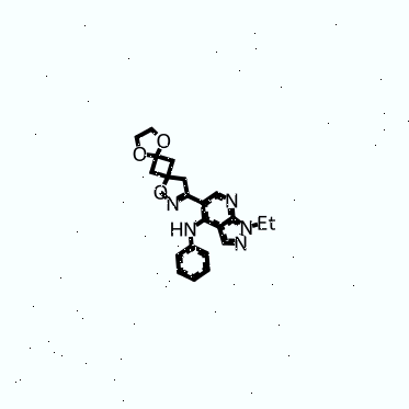 CCn1ncc2c(Nc3ccccc3)c(C3=NOC4(C3)CC3(C4)OCCO3)cnc21